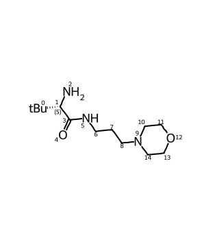 CC(C)(C)[C@H](N)C(=O)NCCCN1CCOCC1